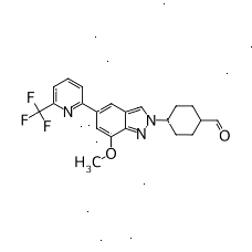 COc1cc(-c2cccc(C(F)(F)F)n2)cc2cn(C3CCC(C=O)CC3)nc12